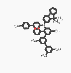 CC(C)(C)c1ccc(-c2ccc(N(c3ccc4c(c3)C(C)(C)c3ccccc3-4)c3cc(C(C)(C)C)cc(-c4cc(-c5cc(C(C)(C)C)cc(C(C)(C)C)c5)cc(C(C)(C)C)c4)c3-c3ccccc3)cc2)cc1